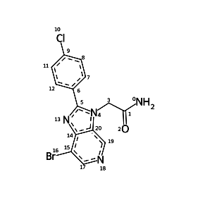 NC(=O)Cn1c(-c2ccc(Cl)cc2)nc2c(Br)cncc21